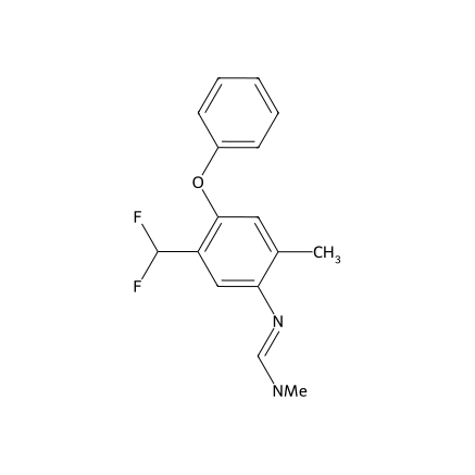 CN/C=N/c1cc(C(F)F)c(Oc2ccccc2)cc1C